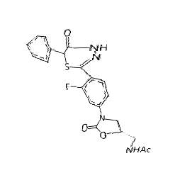 CC(=O)NC[C@H]1CN(c2ccc(C3=NNC(=O)C(c4ccccc4)S3)c(F)c2)C(=O)O1